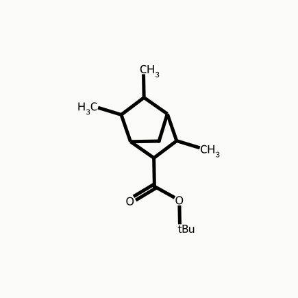 CC1C(C)C2CC1C(C)C2C(=O)OC(C)(C)C